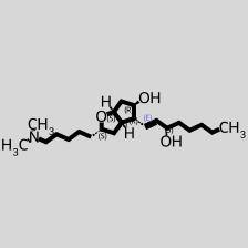 CCCCC[C@H](O)/C=C/[C@@H]1[C@H]2C[C@H](CCCCCN(C)C)O[C@H]2C[C@H]1O